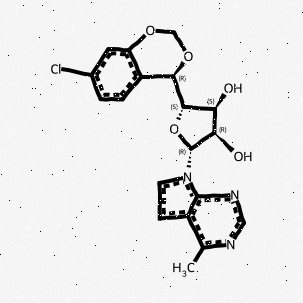 Cc1ncnc2c1ccn2[C@@H]1O[C@H]([C@@H]2OCOc3cc(Cl)ccc32)[C@@H](O)[C@H]1O